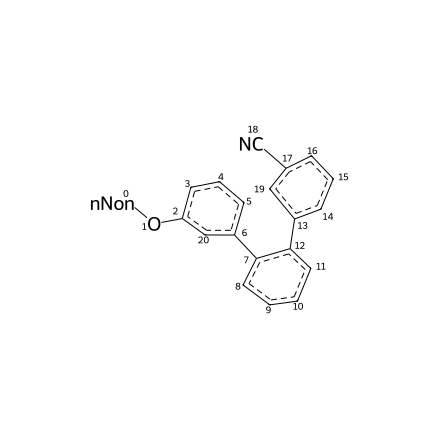 CCCCCCCCCOc1cccc(-c2ccccc2-c2cccc(C#N)c2)c1